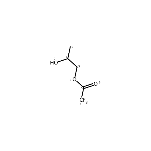 CC(O)COC(=O)C(F)(F)F